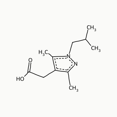 Cc1nn(CC(C)C)c(C)c1CC(=O)O